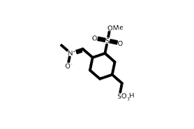 COS(=O)(=O)C1CC(CS(=O)(=O)O)CCC1C=[N+](C)[O-]